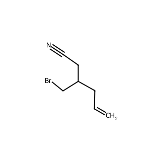 C=CCC(CBr)CC#N